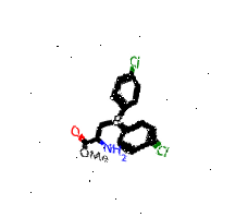 COC(=O)C(N)CB(c1ccc(Cl)cc1)c1ccc(Cl)cc1